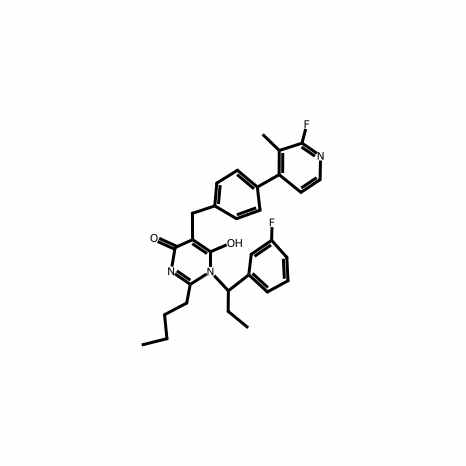 CCCCc1nc(=O)c(Cc2ccc(-c3ccnc(F)c3C)cc2)c(O)n1C(CC)c1cccc(F)c1